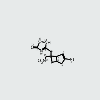 CCC1=CC2C(C1)CC2(Cc1nc(=O)o[nH]1)C[N+](=O)[O-]